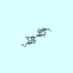 CCNC(=O)[PH](C(=O)O)(C(=O)O)C(=O)NCCNC(=O)[PH](C(=O)O)(C(=O)O)C(=O)NC